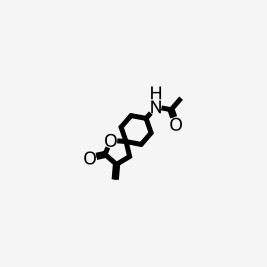 C=C1CC2(CCC(NC(C)=O)CC2)OC1=O